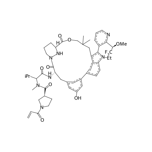 C=CC(=O)N1CC[C@H](C(=O)N(C)C(C(=O)N[C@H]2Cc3cc(O)cc(c3)-c3ccc4c(c3)c(c(-c3cccnc3[C@@H](OC)C(F)(F)F)n4CC)CC(C)(C)COC(=O)[C@@H]3CCCN(N3)C2=O)C(C)C)C1